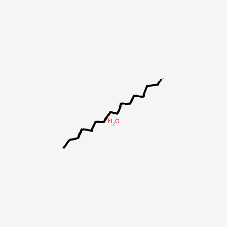 O.[CH2]CCCCCCCCCCCCCCC